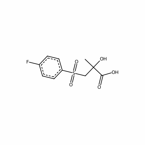 CC(O)(CS(=O)(=O)c1ccc(F)cc1)C(=O)O